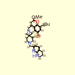 COC(=O)C[C@H](CN1CC2(CCN(Cc3ccc4c(n3)NCCC4)CC2F)C1)c1cc(Br)cc(C(C)(C)C)c1